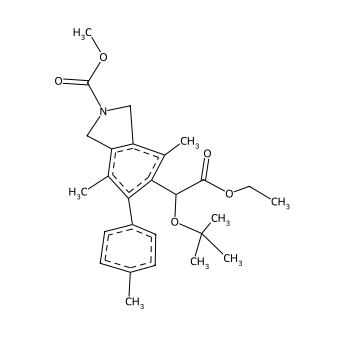 CCOC(=O)C(OC(C)(C)C)c1c(C)c2c(c(C)c1-c1ccc(C)cc1)CN(C(=O)OC)C2